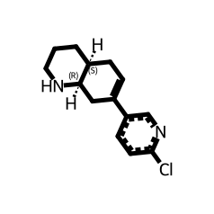 Clc1ccc(C2=CC[C@@H]3CCCN[C@@H]3C2)cn1